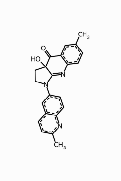 Cc1ccc2c(c1)C(=O)C1(O)CCN(c3ccc4nc(C)ccc4c3)C1=N2